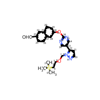 CS(C)(C)CCOCn1nccc1-c1cnc(Oc2ccc3cc(C=O)ccc3c2)nc1